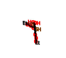 CCOCCOCCOCCCCC(S)C(CCCC(O)(O)S)OCCOCCOCC